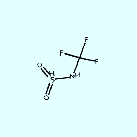 O=[SH](=O)NC(F)(F)F